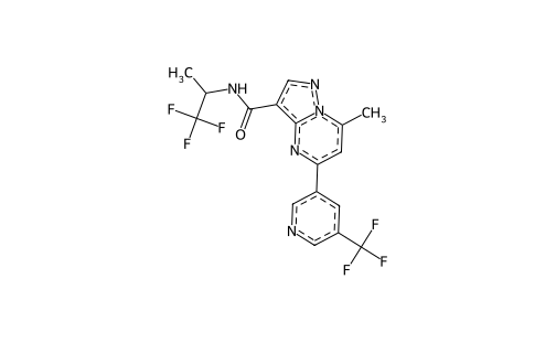 Cc1cc(-c2cncc(C(F)(F)F)c2)nc2c(C(=O)NC(C)C(F)(F)F)cnn12